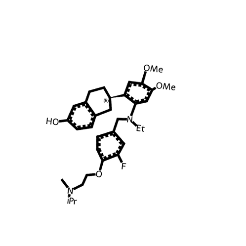 CCN(Cc1ccc(OCCN(C)C(C)C)c(F)c1)c1cc(OC)c(OC)cc1[C@@H]1CCc2cc(O)ccc2C1